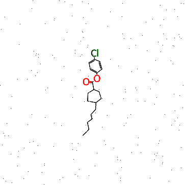 CCCCCCC1CCC(C(=O)Oc2ccc(Cl)cc2)CC1